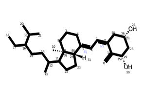 C=C1/C(=C\C=C2/CCC[C@]3(C)C(C(C)CCC(CC)C(C)C)CC[C@@H]23)C[C@H](O)C[C@@H]1O